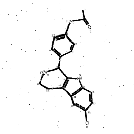 CC(=O)Nc1ccc(C2NCCc3c2[nH]c2ccc(Cl)cc32)cc1